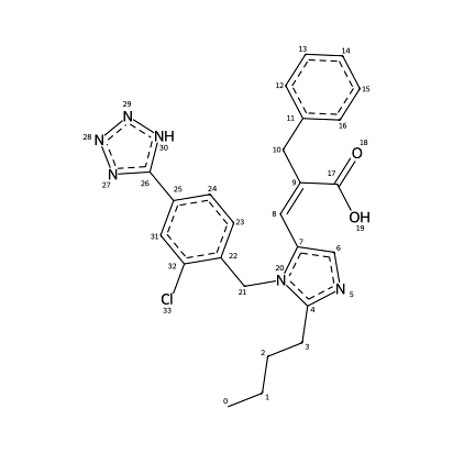 CCCCc1ncc(C=C(Cc2ccccc2)C(=O)O)n1Cc1ccc(-c2nnn[nH]2)cc1Cl